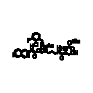 CC(=O)N(NCc1cccc(F)c1Cl)[C@@H](CCCNC(=O)[C@H](CO)NC(=O)OC(C)(C)C)COC(=O)Nc1cc2ccncc2cn1